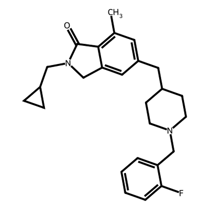 Cc1cc(CC2CCN(Cc3ccccc3F)CC2)cc2c1C(=O)N(CC1CC1)C2